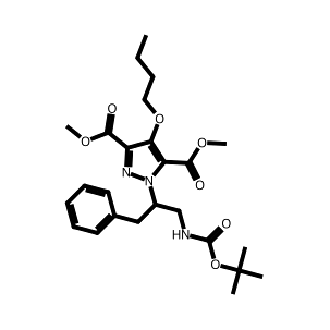 CCCCOc1c(C(=O)OC)nn(C(CNC(=O)OC(C)(C)C)Cc2ccccc2)c1C(=O)OC